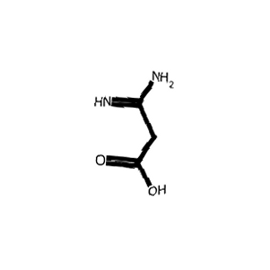 N=C(N)CC(=O)O